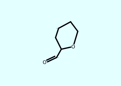 O=[C]C1C[CH]CCO1